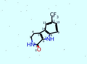 O=C1NCCc2c1[nH]c1ccc(C(F)(F)F)cc21